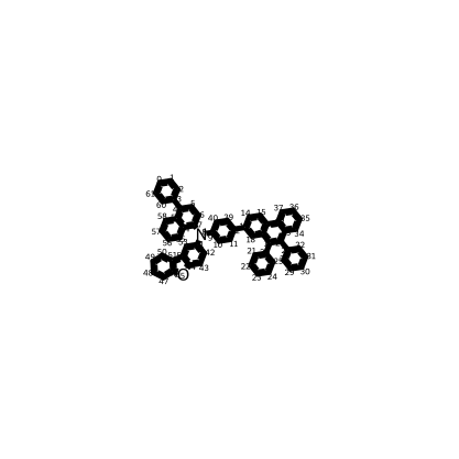 c1ccc(-c2ccc(N(c3ccc(-c4ccc5c(c4)c(-c4ccccc4)c(-c4ccccc4)c4ccccc45)cc3)c3ccc4oc5ccccc5c4c3)c3ccccc23)cc1